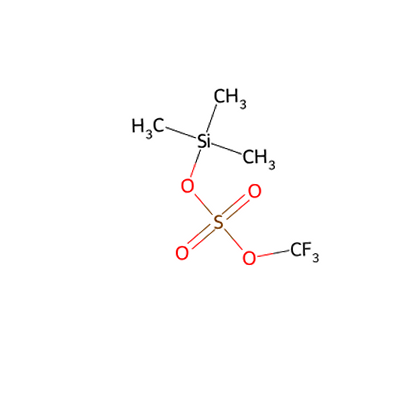 C[Si](C)(C)OS(=O)(=O)OC(F)(F)F